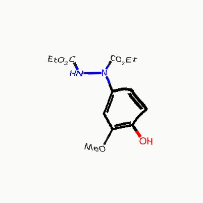 CCOC(=O)NN(C(=O)OCC)c1ccc(O)c(OC)c1